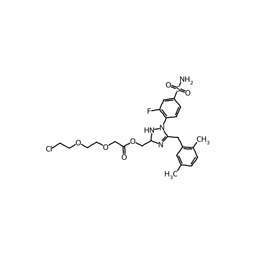 Cc1ccc(C)c(CC2=NC(COC(=O)COCCOCCCl)NN2c2ccc(S(N)(=O)=O)cc2F)c1